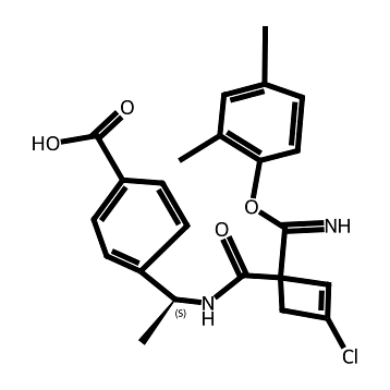 Cc1ccc(OC(=N)C2(C(=O)N[C@@H](C)c3ccc(C(=O)O)cc3)C=C(Cl)C2)c(C)c1